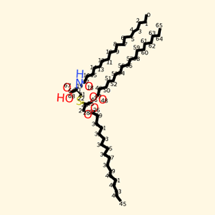 CCCCCCCCCCCCCCCCCC(=O)N[C@@H](CSC(C)C(OC(=O)CCCCCCCCCCCCCCCCC)OC(=O)CCCCCCCCCCCCCCCCC)C(=O)O